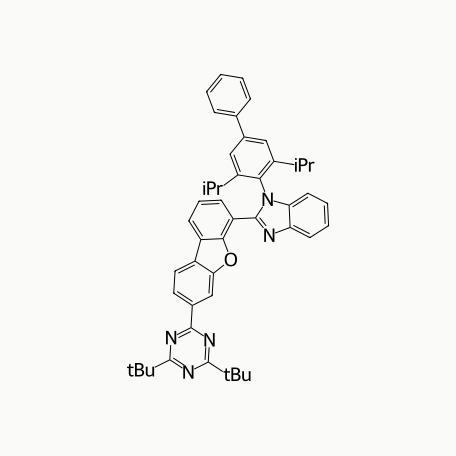 CC(C)c1cc(-c2ccccc2)cc(C(C)C)c1-n1c(-c2cccc3c2oc2cc(-c4nc(C(C)(C)C)nc(C(C)(C)C)n4)ccc23)nc2ccccc21